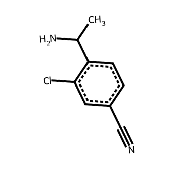 CC(N)c1ccc(C#N)cc1Cl